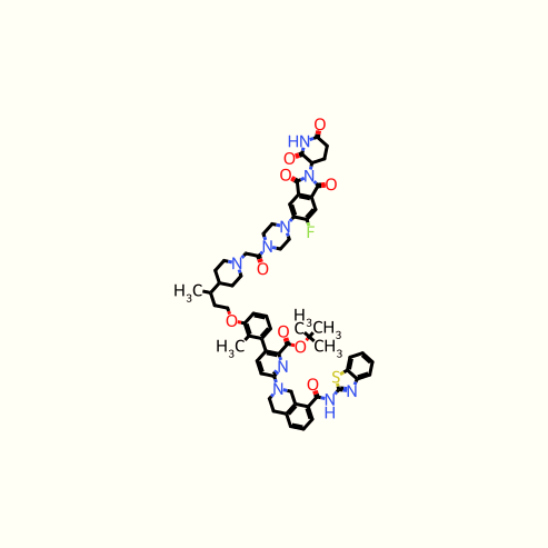 Cc1c(OCCC(C)C2CCN(CC(=O)N3CCN(c4cc5c(cc4F)C(=O)N(C4CCC(=O)NC4=O)C5=O)CC3)CC2)cccc1-c1ccc(N2CCc3cccc(C(=O)Nc4nc5ccccc5s4)c3C2)nc1C(=O)OC(C)(C)C